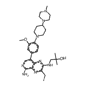 CCc1nc2c(N)ncc(-c3ccc(N4CCC(N5CCN(C)CC5)CC4)c(OC)c3)c2nc1NCC(C)(C)O